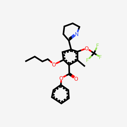 CCCCOc1cc(C2=NCCCC2)c(OC(F)(F)F)c(C)c1C(=O)Oc1ccccc1